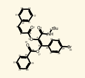 CC(C)(C)NC(=O)/C(OC(=O)/C=C\c1ccccc1)=C(/OC(=O)c1ccccc1)c1ccc(Br)cc1